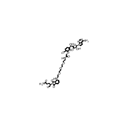 NC(=O)CCC(C=O)N1C(=O)c2cccc(NCCOCCOCCOCCNC(=O)COc3cc([C@@H](O)[C@H]4O[C@@H](n5ccc6c(N)ncnc65)[C@H](O)[C@@H]4O)ccc3Cl)c2C1=O